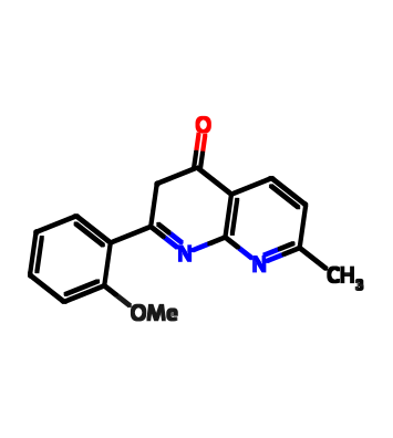 COc1ccccc1C1=Nc2nc(C)ccc2C(=O)C1